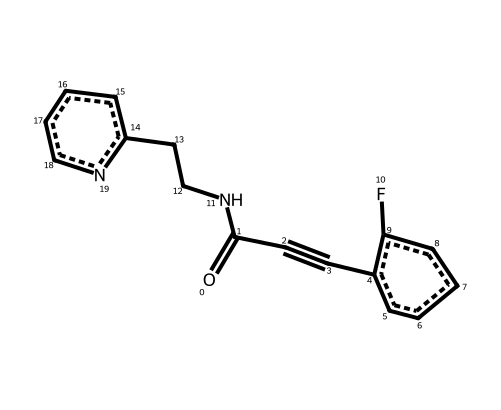 O=C(C#Cc1ccccc1F)NCCc1ccccn1